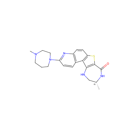 C[C@@H]1CNc2c(sc3ccc4nc(N5CCCN(C)CC5)ccc4c23)C(=O)N1